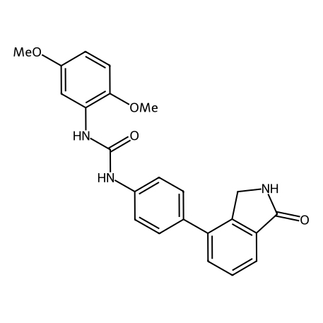 COc1ccc(OC)c(NC(=O)Nc2ccc(-c3cccc4c3CNC4=O)cc2)c1